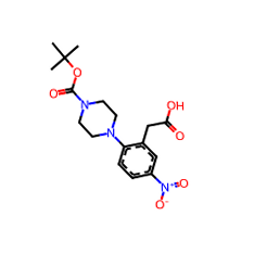 CC(C)(C)OC(=O)N1CCN(c2ccc([N+](=O)[O-])cc2CC(=O)O)CC1